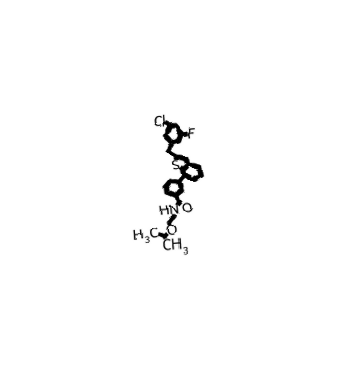 CC(C)OCCNC(=O)c1cccc(-c2cccc3cc(Cc4cc(F)cc(Cl)c4)sc23)c1